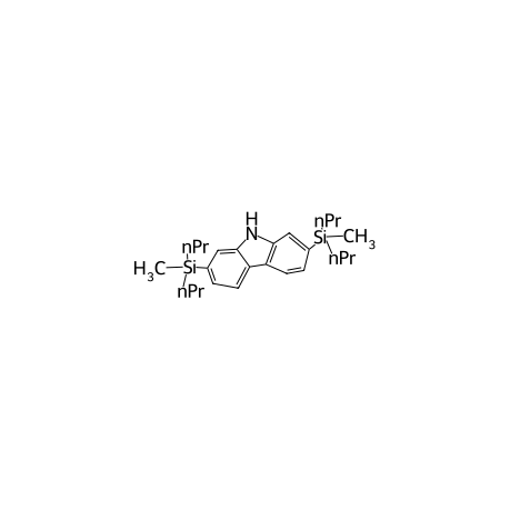 CCC[Si](C)(CCC)c1ccc2c(c1)[nH]c1cc([Si](C)(CCC)CCC)ccc12